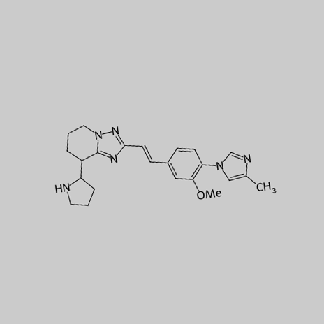 COc1cc(C=Cc2nc3n(n2)CCCC3C2CCCN2)ccc1-n1cnc(C)c1